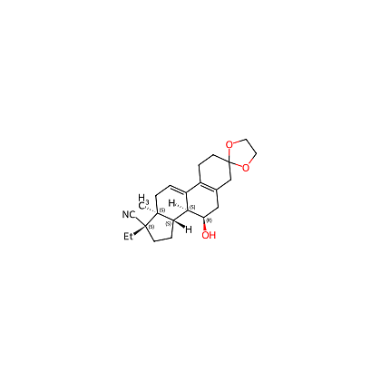 CC[C@]1(C#N)CC[C@H]2[C@H]3C(=CC[C@@]21C)C1=C(C[C@H]3O)CC2(CC1)OCCO2